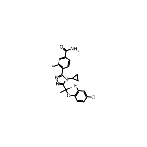 CC(C)(Oc1ccc(Cl)cc1F)c1nnc(-c2ccc(C(N)=O)cc2F)n1C1CC1